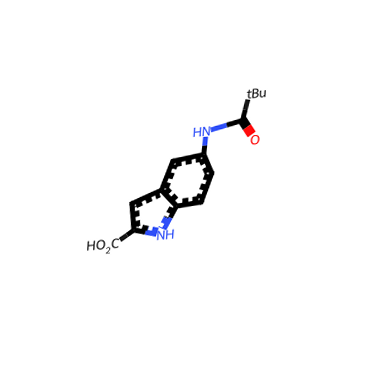 CC(C)(C)C(=O)Nc1ccc2[nH]c(C(=O)O)cc2c1